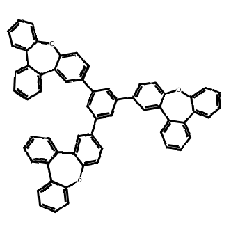 c1ccc2c(c1)Oc1ccc(-c3cc(-c4ccc5c(c4)-c4ccccc4-c4ccccc4O5)cc(-c4ccc5c(c4)-c4ccccc4-c4ccccc4O5)c3)cc1-c1ccccc1-2